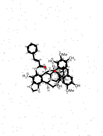 COc1cc2c(cc1O)CCN[C@]21CS[C@@H]2c3c(OC(=O)/C=C/c4ccccc4)c(C)c4c(c3[C@H](COC1=O)N1C2[C@@H]2c3c(cc(C)c(OC)c3O)C[C@H]([C@@H]1O)N2C)OCO4